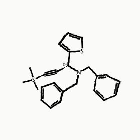 CS(C)(C)C#C[C@@H](c1cccs1)N(Cc1ccccc1)Cc1ccccc1